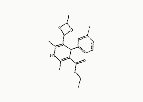 CCOC(=O)C1=C(C)NC(C)=C(C2OC(C)O2)C1c1cccc(F)c1